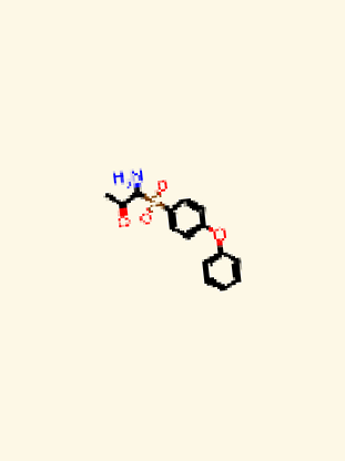 CC(=O)C(N)S(=O)(=O)c1ccc(Oc2ccccc2)cc1